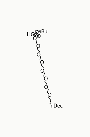 CCCCCCCCCCCCCOCCOCCOCCOCCOCCOCCOCCOP(=O)(O)OCCCC